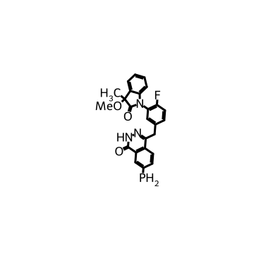 COC1(C)C(=O)N(c2cc(Cc3n[nH]c(=O)c4cc(P)ccc34)ccc2F)c2ccccc21